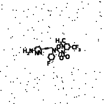 Cc1cc(C(F)(F)F)cc(N2C(=O)OC[C@H]2C(=O)N(CC#Cc2ccc(N)nn2)c2ccc(F)cc2)n1